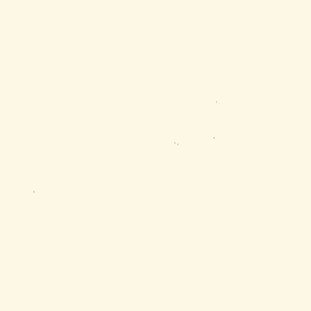 CC(Cc1nsc(NC(=O)c2coc(-c3cccc(C(F)(F)F)c3)c2)n1)=C(F)F